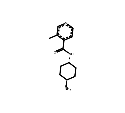 Cc1cnccc1C(=O)N[C@H]1CC[C@H](N)CC1